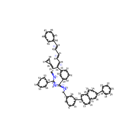 C=N/C(=N\C(=N/Cc1cccc(-c2ccc3cc(-c4ccccc4)ccc3c2)c1)c1cccc(/C(C=C2C=C2)=C/C=C/C=C/c2ccccc2)c1)c1ccccc1